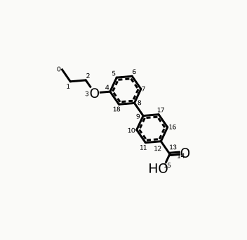 CCCOc1cccc(-c2ccc(C(=O)O)cc2)c1